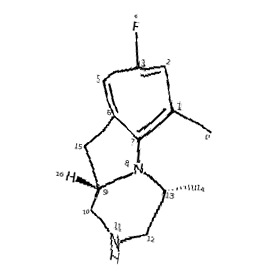 Cc1cc(F)cc2c1N1[C@H](CNC[C@H]1C)C2